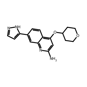 Nc1cc(OC2CCOCC2)c2ccc(-c3ccn[nH]3)cc2n1